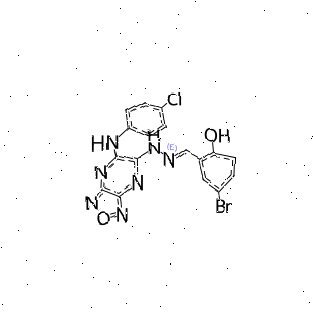 Oc1ccc(Br)cc1/C=N/Nc1nc2nonc2nc1Nc1ccc(Cl)cc1